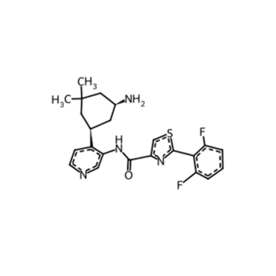 CC1(C)C[C@@H](N)C[C@@H](c2ccncc2NC(=O)c2csc(-c3c(F)cccc3F)n2)C1